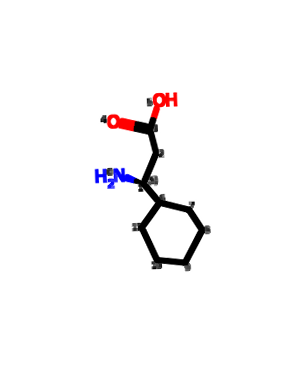 N[C@@H](CC(=O)O)C1CCCCC1